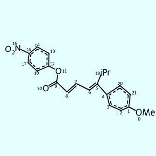 COc1ccc(C(=CC=CC(=O)Oc2ccc([N+](=O)[O-])cc2)C(C)C)cc1